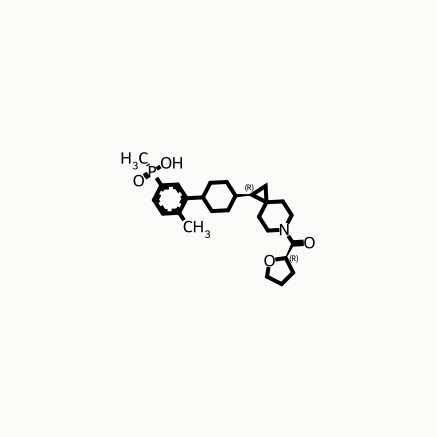 Cc1ccc(P(C)(=O)O)cc1C1CCC([C@H]2CC23CCN(C(=O)[C@H]2CCCO2)CC3)CC1